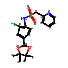 CC1(C)OB(c2ccc(NS(=O)(=O)Cc3ccccn3)c(F)c2)OC1(C)C